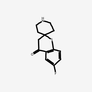 O=C1CC2(CCNCC2)Sc2ccc(F)cc21